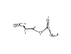 CC(C)(C)C(=O)OCCC=O